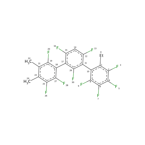 CCc1c(F)c(F)c(F)c(F)c1-c1c(F)cc(F)c(-c2c(F)c(C)c(C)c(F)c2F)c1F